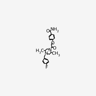 CC1CN(C(=O)COc2ccc(C(N)=O)cc2)C(C)CN1Cc1ccc(F)cc1